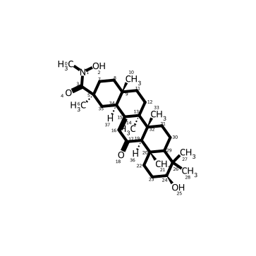 CN(O)C(=O)[C@@]1(C)CC[C@]2(C)CC[C@]3(C)C(=CC(=O)[C@@H]4[C@@]5(C)CC[C@H](O)C(C)(C)C5CC[C@]43C)[C@H]2C1